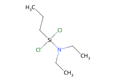 CCC[Si](Cl)(Cl)N(CC)CC